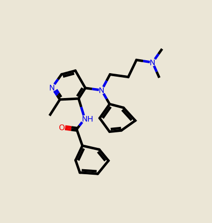 Cc1nccc(N(CCCN(C)C)c2ccccc2)c1NC(=O)c1ccccc1